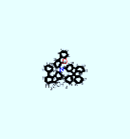 CC1(C)c2ccc(N(c3ccc4c(c3)C(c3ccccc3)(c3ccccc3)c3ccccc3-4)c3cccc4c3oc3ccccc34)cc2-c2c(-c3ccccc3)cccc21